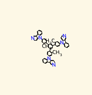 Cc1cc(-n2c3ccccc3c3cnccc32)ccc1-c1cc(-c2ccc(-n3c4ccccc4c4cnccc43)cc2C)cc(-c2ccc(-n3c4ccccc4c4cnccc43)cc2C)c1